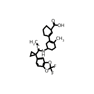 C=C=C(NC1CCC(C)=C(C2=CC(C(=O)O)CCC2)C1)C1(c2ccc3c(c2)OC(F)(F)O3)CC1